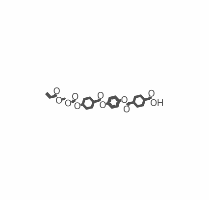 C=CC(=O)OCOC(=O)OC1CCC(C(=O)Oc2ccc(OC(=O)C3CCC(C(=O)O)CC3)cc2)CC1